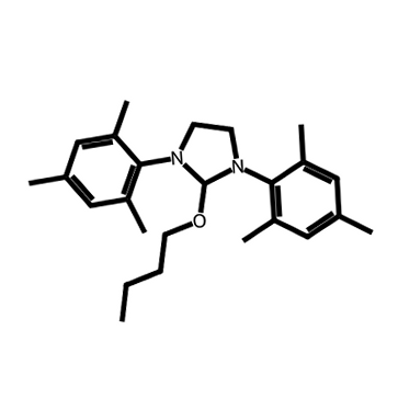 CCCCOC1N(c2c(C)cc(C)cc2C)CCN1c1c(C)cc(C)cc1C